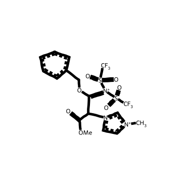 COC(=O)C(C(OCc1ccccc1)=[N+](S(=O)(=O)C(F)(F)F)S(=O)(=O)C(F)(F)F)n1cc[n+](C)c1